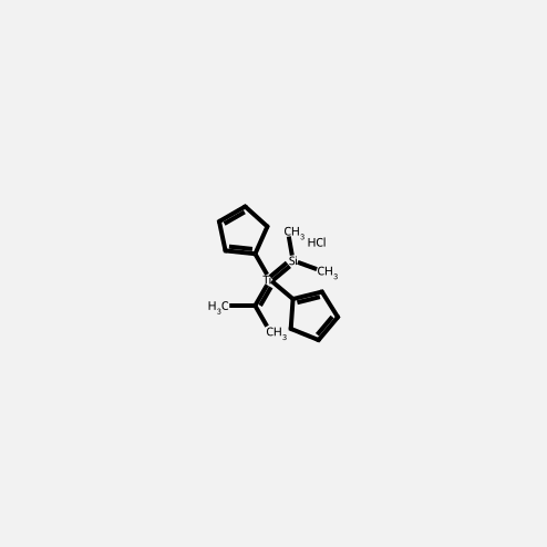 C[C](C)=[Ti]([C]1=CC=CC1)([C]1=CC=CC1)=[Si](C)C.Cl